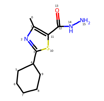 Cc1nc(C2CCCCC2)sc1C(=O)NN